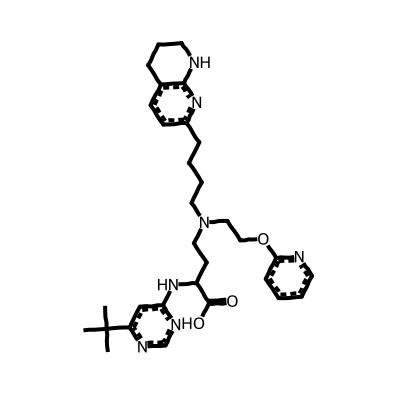 CC(C)(C)c1cc(NC(CCN(CCCCc2ccc3c(n2)NCCC3)CCOc2ccccn2)C(=O)O)ncn1